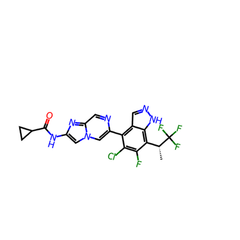 C[C@H](c1c(F)c(Cl)c(-c2cn3cc(NC(=O)C4CC4)nc3cn2)c2cn[nH]c12)C(F)(F)F